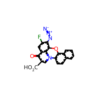 [N-]=[N+]=Nc1c(F)cc2c(=O)c(C(=O)O)cn3c2c1Oc1c-3ccc2ccccc12